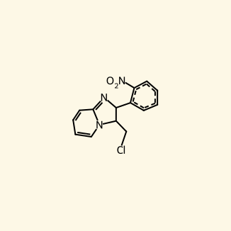 O=[N+]([O-])c1ccccc1C1N=C2C=CC=CN2C1CCl